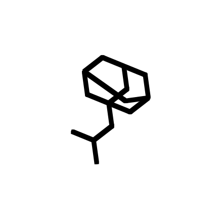 CC(C)CC12CC3CC(CC(C3)C1)C2